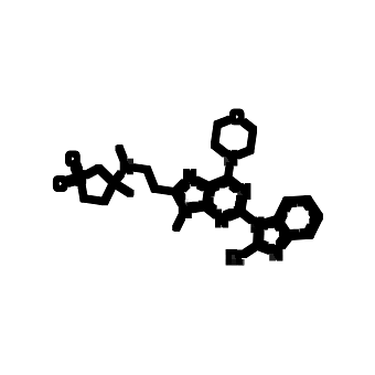 CCc1nc2ccccc2n1-c1nc(N2CCOCC2)c2nc(CCN(C)C3(C)CCS(=O)(=O)C3)n(C)c2n1